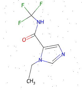 CCn1cncc1C(=O)NC(F)(F)F